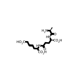 C[C@H](N)C(=O)N[C@H](CCC(=O)NC(CC=CCC(=O)O)C(=O)O)C(=O)O